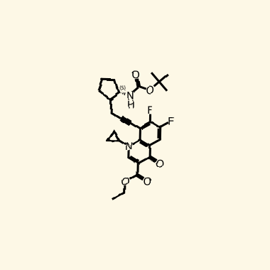 CCOC(=O)c1cn(C2CC2)c2c(C#CCC3CCC[C@@H]3NC(=O)OC(C)(C)C)c(F)c(F)cc2c1=O